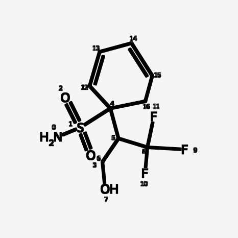 NS(=O)(=O)C1(C(CO)C(F)(F)F)C=CC=CC1